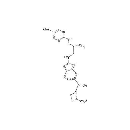 CSc1cnc(NC[C@H](C)CNc2nc3ccc(C(O)N4CCC4C(=O)O)cc3s2)nc1